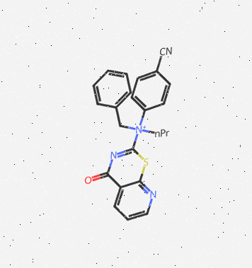 CCC[N+](Cc1ccccc1)(c1ccc(C#N)cc1)c1nc(=O)c2cccnc2s1